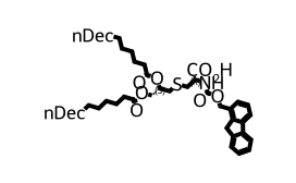 CCCCCCCCCCCCCCCC(=O)OC[C@@H](CSC[C@H](NC(=O)OCc1cccc2c1Cc1ccccc1-2)C(=O)O)OC(=O)CCCCCCCCCCCCCCC